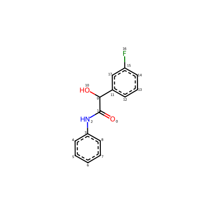 O=C(Nc1ccccc1)C(O)c1cccc(F)c1